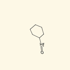 [O]=[Hf][CH]1CCCCC1